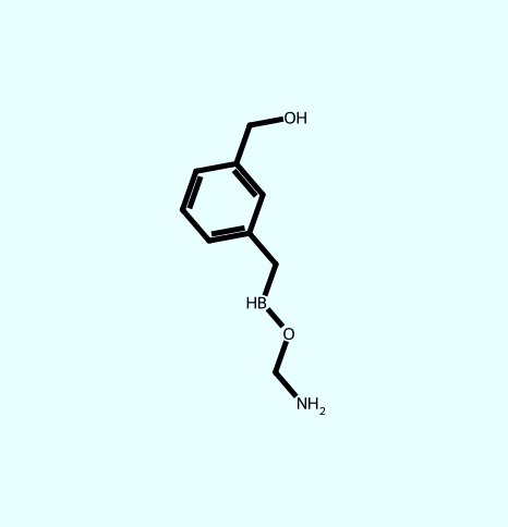 NCOBCc1cccc(CO)c1